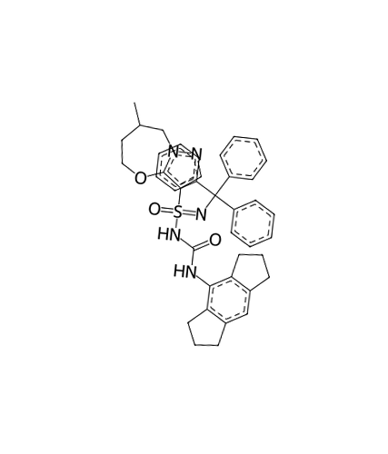 CC1CCOc2c(S(=O)(=NC(c3ccccc3)(c3ccccc3)c3ccccc3)NC(=O)Nc3c4c(cc5c3CCC5)CCC4)cnn2C1